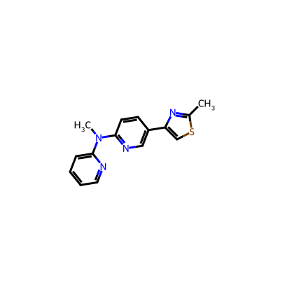 Cc1nc(-c2ccc(N(C)c3ccccn3)nc2)cs1